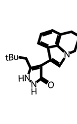 CC(C)(C)Cc1[nH][nH]c(=O)c1-c1cn2c3c(cccc13)CCC2